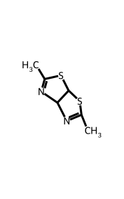 CC1=NC2N=C(C)SC2S1